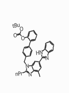 CCCc1nc2c(C)cc(-c3nc4ccccc4[nH]3)cc2n1Cc1ccc(-c2ccccc2OC(=O)OC(C)(C)C)cc1